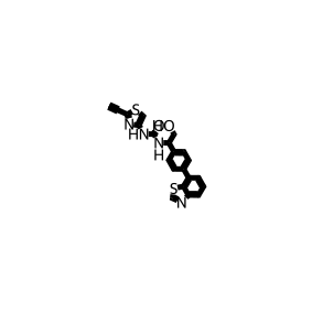 C#Cc1nc(NC(=O)NC(CO)c2ccc(-c3cccc4ncsc34)cc2)cs1